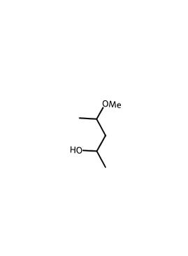 COC(C)CC(C)O